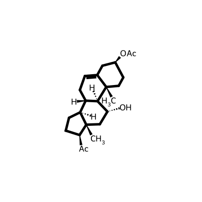 CC(=O)O[C@H]1CC[C@@]2(C)C(=CC[C@@H]3[C@@H]2[C@H](O)C[C@]2(C)[C@@H](C(C)=O)CC[C@@H]32)C1